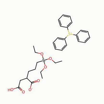 CCO[Si](CCCC(CC(=O)O)C(=O)[O-])(OCC)OCC.c1ccc([S+](c2ccccc2)c2ccccc2)cc1